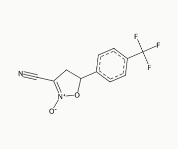 N#CC1=[N+]([O-])OC(c2ccc(C(F)(F)F)cc2)C1